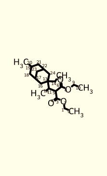 CCOC(=O)C(C(=O)OCC)C(C)C1(CC)CC2CC(C)CC(C2)C1